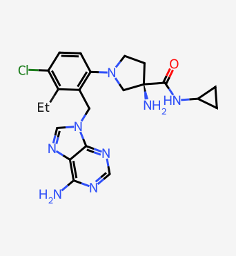 CCc1c(Cl)ccc(N2CC[C@](N)(C(=O)NC3CC3)C2)c1Cn1cnc2c(N)ncnc21